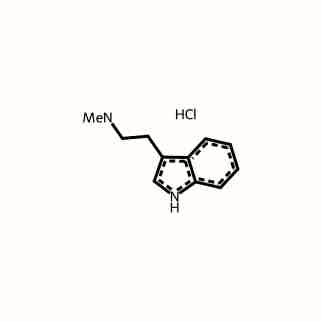 CNCCc1c[nH]c2ccccc12.Cl